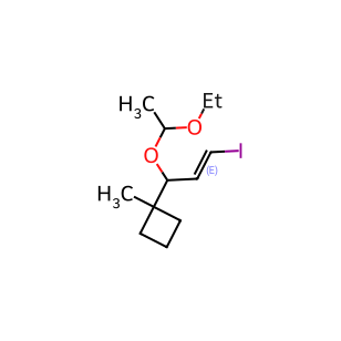 CCOC(C)OC(/C=C/I)C1(C)CCC1